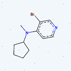 CN(c1c[c]ncc1Br)C1CCCC1